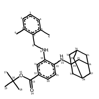 Cc1cccc(C)c1CNc1cc(C(=O)OC(C)(C)C)ccc1NC12CC3CC(CC(C3)C1)C2